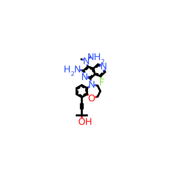 CN(N)c1c(N)nc(N2CCCOc3c(C#CC(C)(C)O)cccc32)c2c(F)cncc12